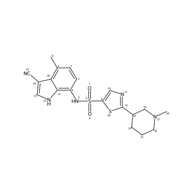 Cc1ccc(NS(=O)(=O)c2cnc(C3CCCN(C)C3)s2)c2[nH]cc(C#N)c12